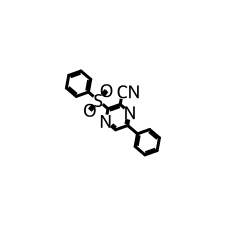 N#Cc1nc(-c2ccccc2)cnc1S(=O)(=O)c1ccccc1